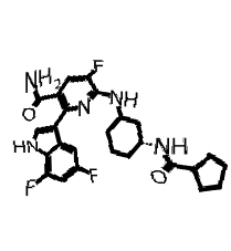 NC(=O)c1cc(F)c(NC2CCC[C@@H](NC(=O)C3CCCC3)C2)nc1-c1c[nH]c2c(F)cc(F)cc12